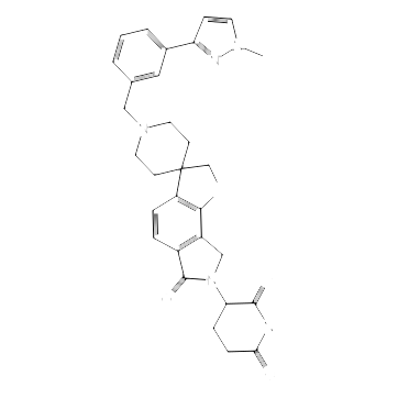 Cn1ccc(-c2cccc(CN3CCC4(CC3)COc3c4ccc4c3CN(C3CCC(=O)NC3=O)C4=O)c2)n1